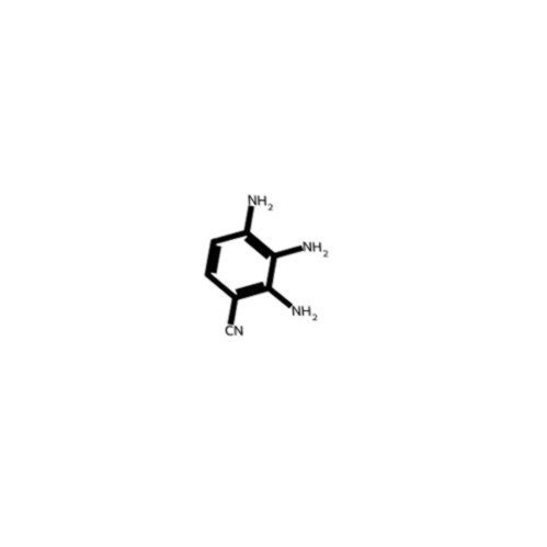 N#Cc1ccc(N)c(N)c1N